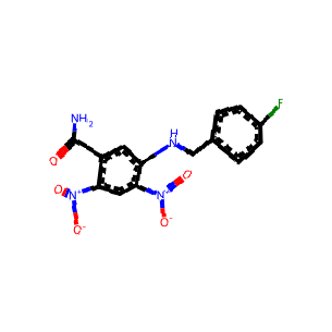 NC(=O)c1cc(NCc2ccc(F)cc2)c([N+](=O)[O-])cc1[N+](=O)[O-]